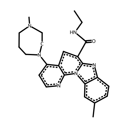 CCNC(=O)c1cc2c(N3CCCN(C)CC3)ccnc2n2c1nc1ccc(C)cc12